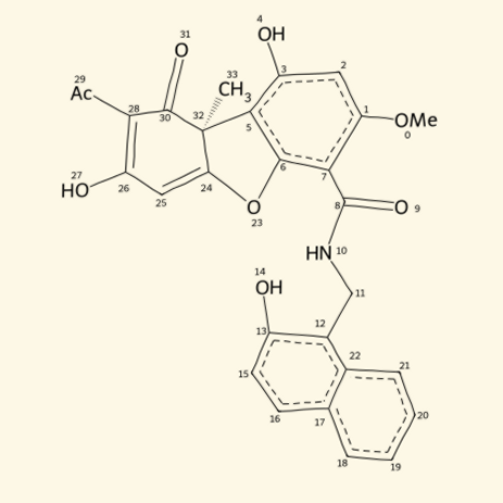 COc1cc(O)c2c(c1C(=O)NCc1c(O)ccc3ccccc13)OC1=CC(O)=C(C(C)=O)C(=O)[C@]12C